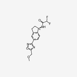 COCc1nc(-c2ccc3c(c2)CC[C@H]3NC(=O)C(F)F)no1